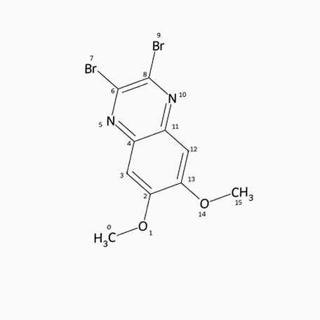 COc1cc2nc(Br)c(Br)nc2cc1OC